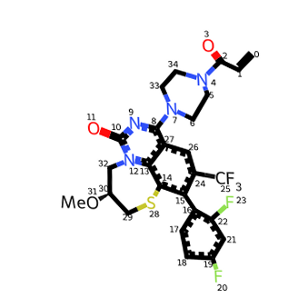 C=CC(=O)N1CCN(c2nc(=O)n3c4c(c(-c5ccc(F)cc5F)c(C(F)(F)F)cc24)SC[C@@H](OC)C3)CC1